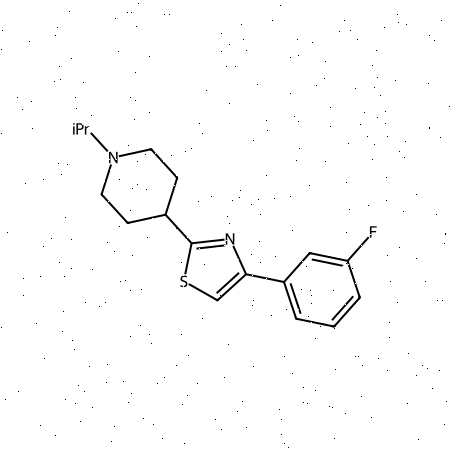 CC(C)N1CCC(c2nc(-c3cccc(F)c3)cs2)CC1